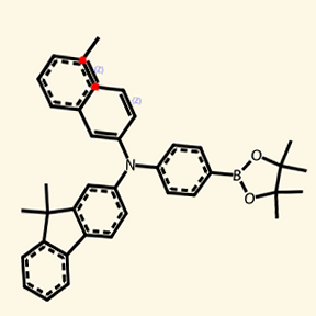 C/C=C\C=C/C(=Cc1ccccc1)N(c1ccc(B2OC(C)(C)C(C)(C)O2)cc1)c1ccc2c(c1)C(C)(C)c1ccccc1-2